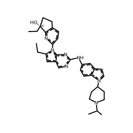 CCc1cc2cnc(Nc3ccc4c(ccn4C4CCN(C(C)C)CC4)c3)nc2n1-c1ccc2c(n1)[C@@](O)(CC)CC2